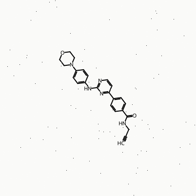 C#CCNC(=O)c1ccc(-c2ccnc(Nc3ccc(N4CCOCC4)cc3)n2)cc1